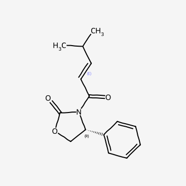 CC(C)/C=C/C(=O)N1C(=O)OC[C@H]1c1ccccc1